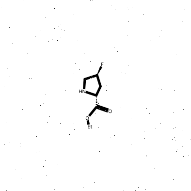 CCOC(=O)[C@H]1C[C@H](F)CN1